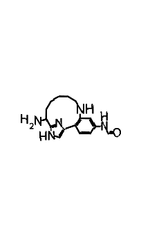 NC1CCCCCNc2cc(NC=O)ccc2-c2c[nH]c1n2